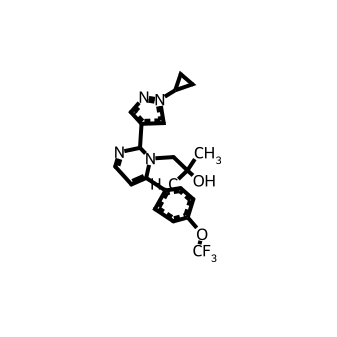 CC(C)(O)CN1C(c2ccc(OC(F)(F)F)cc2)=CC=NC1c1cnn(C2CC2)c1